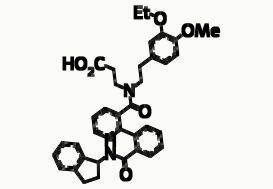 CCOc1cc(CCN(CCC(=O)O)C(=O)c2ccccc2-c2ccccc2C(=O)NC2CCc3ccccc32)ccc1OC